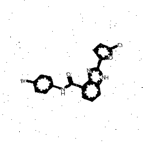 O=C(Nc1ccc(Br)cc1)c1cccc2[nH]c(-c3ccc(Cl)o3)nc12